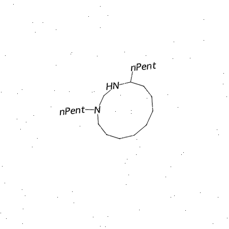 CCCCCC1CCCCCCCCN(CCCCC)CN1